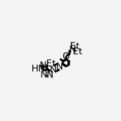 CCc1n[nH]c2ncnc(N3CCN(c4cccc(OCCN(CC)CC)c4C)CC3)c12